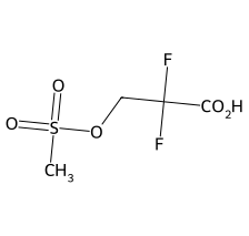 CS(=O)(=O)OCC(F)(F)C(=O)O